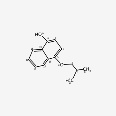 CC(C)COc1ccc(O)c2ccccc12